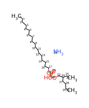 CCCCCCCCCCCCCCCCCCOP(=O)(O)OCC(CC)CCCC.N